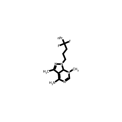 CCCC(F)(F)CCCN1N=C(C)C2=C(N)N=CN(C)C21